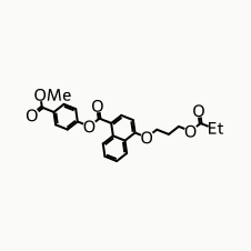 CCC(=O)OCCCOc1ccc(C(=O)Oc2ccc(C(=O)OC)cc2)c2ccccc12